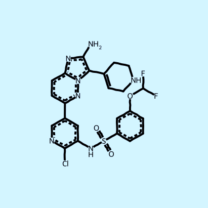 Nc1nc2ccc(-c3cnc(Cl)c(NS(=O)(=O)c4cccc(OC(F)F)c4)c3)nn2c1C1=CCNCC1